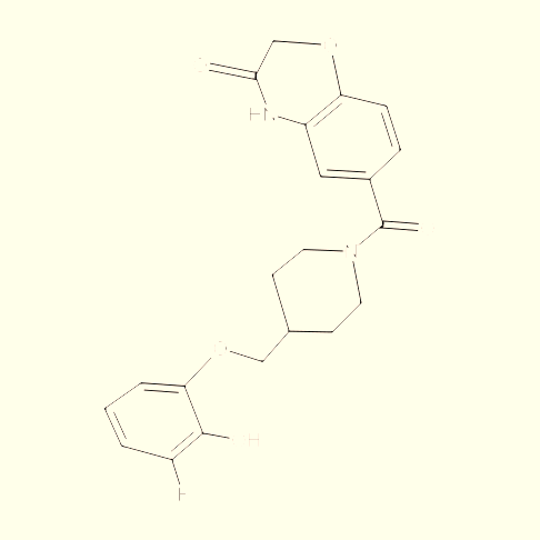 O=C1COc2ccc(C(=O)N3CCC(COc4cccc(F)c4O)CC3)cc2N1